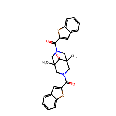 CC12CN(C(=O)c3cc4ccccc4s3)CC(C)(CN(C(=O)c3cc4ccccc4s3)C1)C2=O